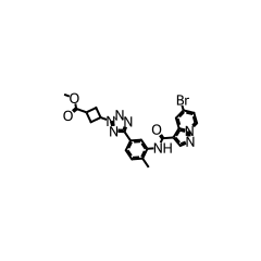 COC(=O)C1CC(n2nnc(-c3ccc(C)c(NC(=O)c4cnn5ccc(Br)cc45)c3)n2)C1